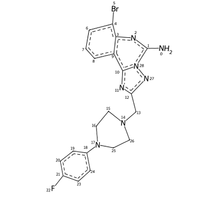 Nc1nc2c(Br)cccc2c2nc(CN3CCN(c4ccc(F)cc4)CC3)nn12